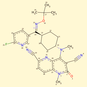 Cn1c(=O)c(C#N)c(N(C)[C@H]2CC[C@H](/C(=N\OC(C)(C)C)c3ccc(F)nc3)CC2)c2nc(C#N)ccc21